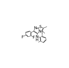 Cc1cccc(I)c1Nc1c(-c2ccc(F)cc2F)nc2sc(C)c(C)n12